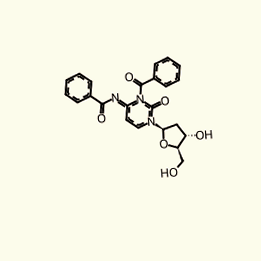 O=C(N=c1ccn([C@H]2C[C@H](O)[C@@H](CO)O2)c(=O)n1C(=O)c1ccccc1)c1ccccc1